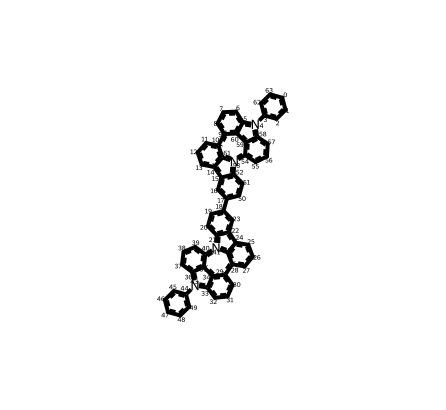 c1ccc(-n2c3cccc4c5cccc6c7cc(-c8ccc9c(c8)c8cccc%10c%11cccc%12c%11c%11c(cccc%11n9c%108)n%12-c8ccccc8)ccc7n(c7cccc2c7c43)c56)cc1